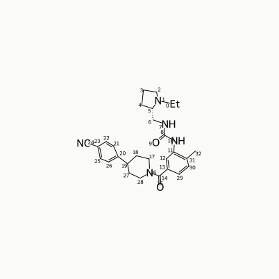 CCN1CCC[C@H]1CNC(=O)Nc1cc(C(=O)N2CCC(c3ccc(C#N)cc3)CC2)ccc1C